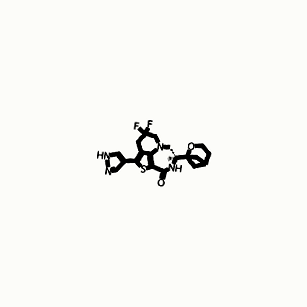 O=C1N[C@@H](C23CC(CCO2)C3)CN2CC(F)(F)Cc3c(-c4cn[nH]c4)sc1c32